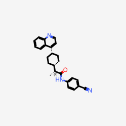 C[C@@H](C(=O)Nc1ccc(C#N)cc1)[C@H]1CC[C@@H](c2ccnc3ccccc32)CC1